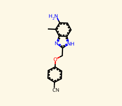 Cc1c(N)ccc2[nH]c(COc3ccc(C#N)cc3)nc12